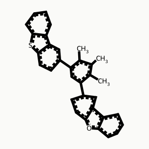 Cc1c(-c2ccc3oc4ccccc4c3c2)cc(-c2ccc3sc4ccccc4c3c2)c(C)c1C